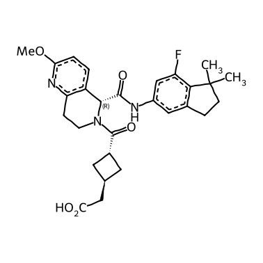 COc1ccc2c(n1)CCN(C(=O)[C@H]1C[C@H](CC(=O)O)C1)[C@H]2C(=O)Nc1cc(F)c2c(c1)CCC2(C)C